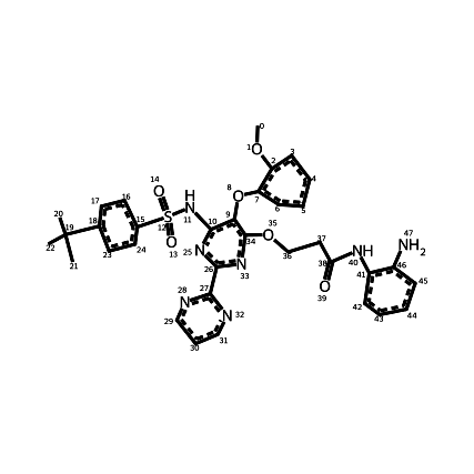 COc1ccccc1Oc1c(NS(=O)(=O)c2ccc(C(C)(C)C)cc2)nc(-c2ncccn2)nc1OCCC(=O)Nc1ccccc1N